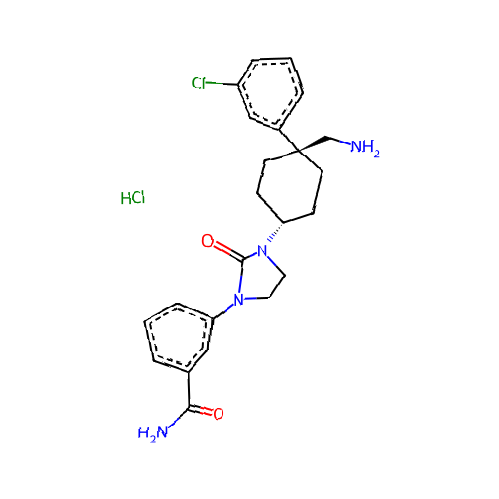 Cl.NC[C@]1(c2cccc(Cl)c2)CC[C@@H](N2CCN(c3cccc(C(N)=O)c3)C2=O)CC1